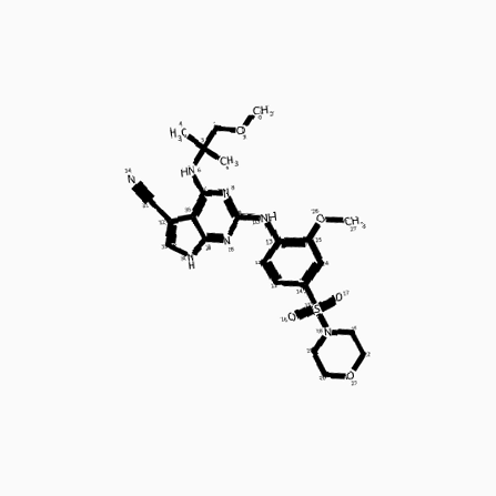 COCC(C)(C)Nc1nc(Nc2ccc(S(=O)(=O)N3CCOCC3)cc2OC)nc2[nH]cc(C#N)c12